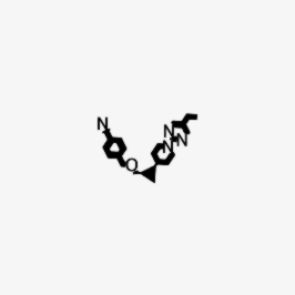 CCc1cnc(N2CCC([C@H]3C[C@H]3COCc3ccc(C#N)cc3)CC2)nc1